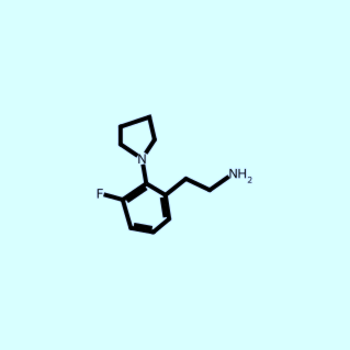 NCCc1cccc(F)c1N1CCCC1